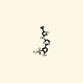 NS(=O)(=O)c1cc(-c2nccc(Nc3cc(C4CC4)[nH]n3)n2)ccc1O